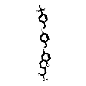 O=C(O)CC1CCc2cc(SCc3ccc(OCc4ccc(C(F)(F)F)cc4)cc3)ccc2O1